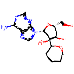 Nc1ncnc2c1ncn2[C@@H]1O[C@H](CO)[C@@H](O)[C@]1(O)C1CCCCO1